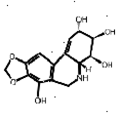 Oc1c2c(cc3c1OCO3)C1=C[C@H](O)[C@@H](O)[C@@H](O)[C@@H]1NC2